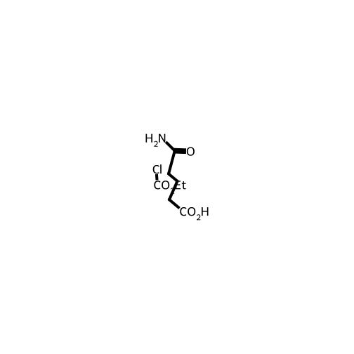 CCOC(=O)Cl.NC(=O)CCCC(=O)O